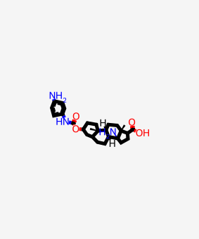 C[C@]12CCC(OC(=O)Nc3ccc(N)cc3)CC1CC[C@@H]1[C@H]2CC[C@]2(C)C(C(=O)O)CC[C@@]12N